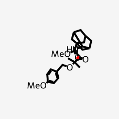 COC(=O)C12CC3CC(C1)C(NC(=O)C(C)(C)OCc1ccc(OC)cc1)C(C3)C2